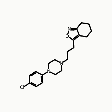 Clc1ccc(N2CCN(CCCc3onc4c3CCCC4)CC2)cc1